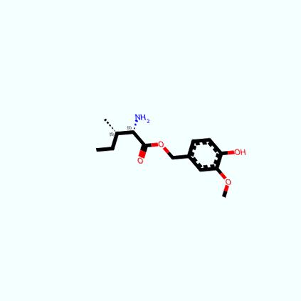 CC[C@H](C)[C@H](N)C(=O)OCc1ccc(O)c(OC)c1